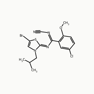 COc1ccc(Cl)cc1C(=NC#N)/N=c1\sc(Br)cn1CC(C)C